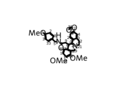 COc1ccc(CNC(=O)CC2c3ccc(OC)c(OC)c3CN3CCc4cc5c(cc4C23)OCO5)cc1